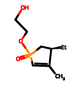 CC[C@@H]1CP(=O)(OCCO)C=C1C